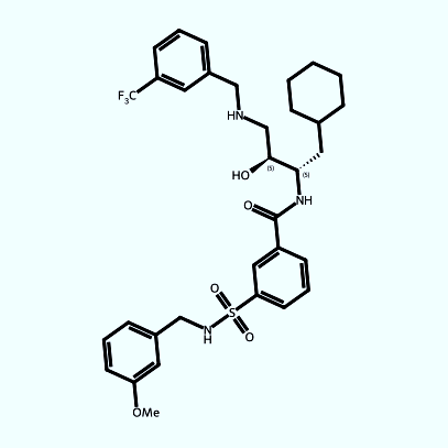 COc1cccc(CNS(=O)(=O)c2cccc(C(=O)N[C@@H](CC3CCCCC3)[C@@H](O)CNCc3cccc(C(F)(F)F)c3)c2)c1